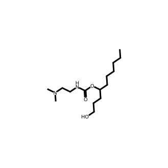 CCCCCCC(CCCO)OC(=O)NCCN(C)C